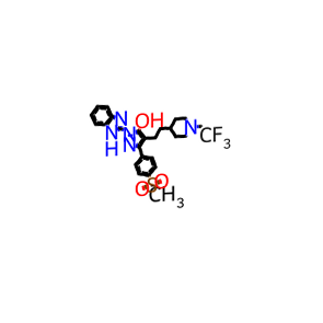 CS(=O)(=O)c1ccc(-c2nn(-c3nc4ccccc4[nH]3)c(O)c2CCC2CCN(CC(F)(F)F)CC2)cc1